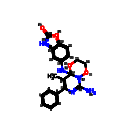 CC1=C(c2ccccc2)N=C(N)N2OCCOC12Nc1ccc2oc(=O)[nH]c2c1